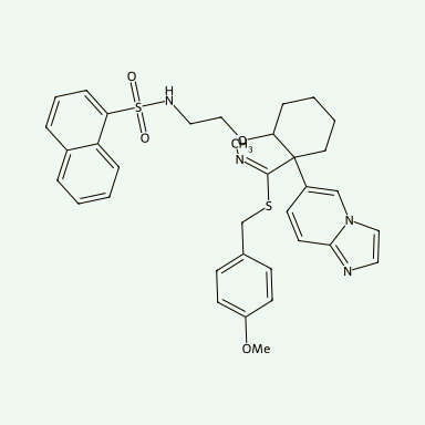 C/N=C(/SCc1ccc(OC)cc1)C1(c2ccc3nccn3c2)CCCCC1OCCNS(=O)(=O)c1cccc2ccccc12